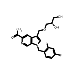 CC(=O)c1cc2c(COC[C@H](O)CO)cn(Cc3ccc(F)cc3F)c2cn1